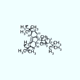 CC(C)(C)C1=CCC(C(C)(C)C2c3ccc(C(C)(C)C)cc3-c3cc(C(C)(C)C)ccc32)=C1